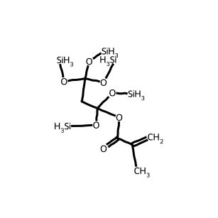 C=C(C)C(=O)OC(CC(O[SiH3])(O[SiH3])O[SiH3])(O[SiH3])O[SiH3]